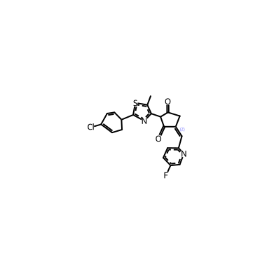 Cc1sc(C2C=CC(Cl)=CC2)nc1C1C(=O)C/C(=C/c2ccc(F)cn2)C1=O